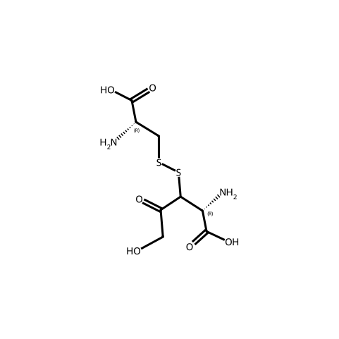 N[C@H](C(=O)O)C(SSC[C@H](N)C(=O)O)C(=O)CO